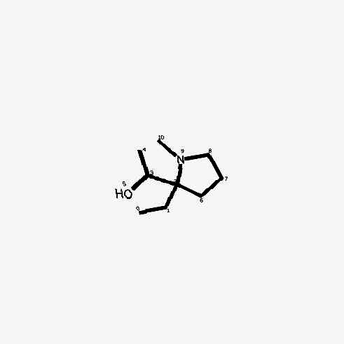 CCC1(C(C)O)CCCN1C